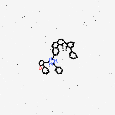 c1ccc(-c2nc(-c3ccc4c(ccc5ccc6c7cccc(-c8ccccc8)c7[se]c6c54)c3)nc(-c3cccc4oc5ccccc5c34)n2)cc1